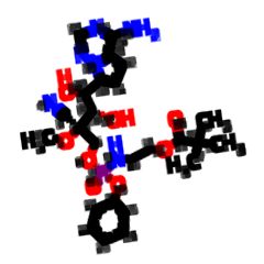 CO[C@](C#N)(COP(=O)(NCCOC(=O)C(C)(C)C)Oc1ccccc1)[C@@H](O)[C@@H](O)c1ccc2c(N)ncnn12